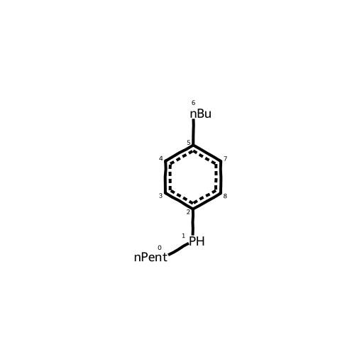 CCCCCPc1ccc(CCCC)cc1